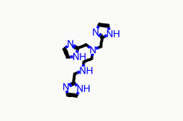 c1c[nH]c(CNCCN(Cc2ncc[nH]2)Cc2ncc[nH]2)n1